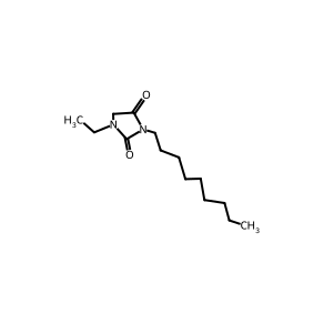 CCCCCCCCCN1C(=O)CN(CC)C1=O